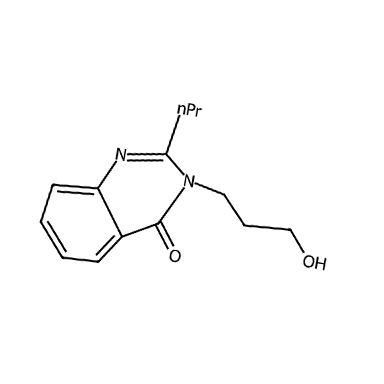 CCCc1nc2ccccc2c(=O)n1CCCO